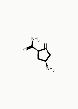 NC(=O)[C@@H]1C[C@H](N)CN1